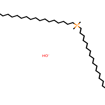 CCCCCCCCCCCCCCCCCC[P+](C)(C)CCCCCCCCCCCCCCCCCC.[OH-]